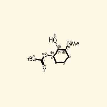 CN[C@H]1CCC[C@@H](SC(=O)C(C)(C)C)[C@@H]1O